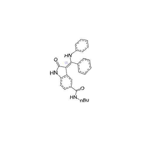 CCCCNC(=O)c1ccc2c(c1)/C(=C(/Nc1ccccc1)c1ccccc1)C(=O)N2